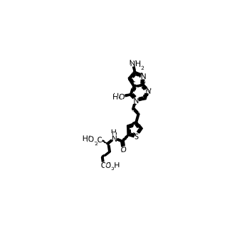 Nc1cc2c(O)n(CCc3csc(C(=O)N[C@@H](CCC(=O)O)C(=O)O)c3)cnc-2n1